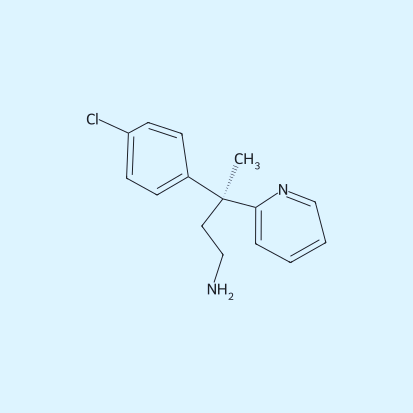 C[C@](CCN)(c1ccc(Cl)cc1)c1ccccn1